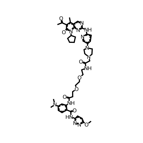 COc1ccc(NC(=O)c2ccc(N(C)C)cc2NC(=O)CCOCCOCCNC(=O)CN2CCN(c3ccc(Nc4ncc5c(C)c(C(C)=O)c(=O)n(C6CCCC6)c5n4)nc3)CC2)nn1